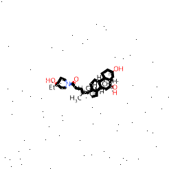 CCC1(O)CCN(C(=O)CC[C@@H](C)[C@H]2CC[C@H]3[C@@H]4C[C@H](O)[C@H]5C[C@@H](O)CC[C@]5(C)[C@H]4CC[C@]23C)CC1